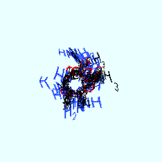 CC(=O)N[C@@H](CCCNC(=N)N)C(=O)N[C@H]1CCC(=O)NCCC[C@@H](C(N)=O)NC(=O)[C@H](Cc2c[nH]c3ccccc23)NC(=O)C(CCCNC(=N)N)NC(=O)[C@@H](Cc2ccccc2)NC(=O)C(CC[S+](C)[O-])NC1=O